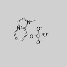 Cn1cc[n+]2ccccc12.[O-][Cl+3]([O-])([O-])[O-]